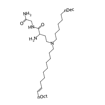 CCCCCCCCC=CCCCCCCCCN(CCCCCCCCCCCCCCCC)CCC(N)C(=O)NCC(N)=O